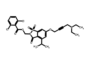 CCN(CC)CC#CCOc1cc(C(C)C)c2c(c1)S(=O)(=O)N(COC(=O)c1c(Cl)cccc1Cl)C2=O